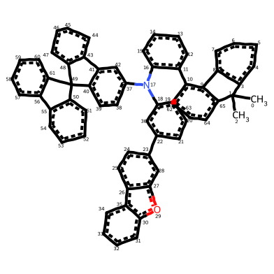 CC1(C)c2ccccc2-c2c(-c3ccccc3N(c3cccc(-c4ccc5c(c4)oc4ccccc45)c3)c3ccc4c(c3)-c3ccccc3C43c4ccccc4-c4ccccc43)cccc21